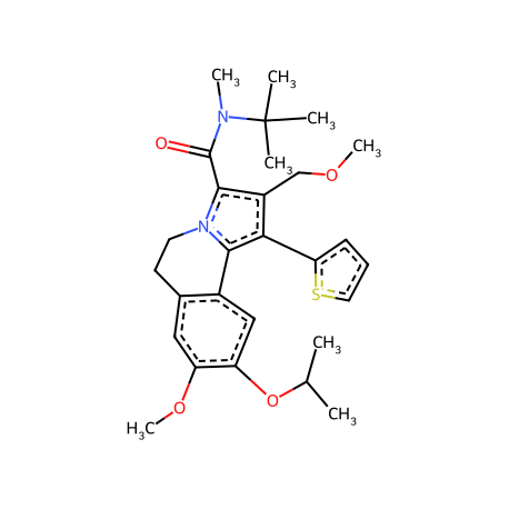 COCc1c(-c2cccs2)c2n(c1C(=O)N(C)C(C)(C)C)CCc1cc(OC)c(OC(C)C)cc1-2